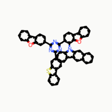 c1ccc2cc3c(cc2c1)c1ccccc1n3-c1c(-c2nc(-c3ccc4c(c3)oc3ccccc34)nc(-c3ccc4c(c3)sc3ccccc34)n2)ccc2c1oc1ccccc12